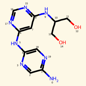 Nc1cnc(Nc2cc(NC(CO)CO)ncn2)cn1